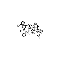 CCOc1cc(O[C@@H]2C[C@@H](C(=O)N[C@]3(C(=O)NS(=O)(=O)OC4CC4C)C[C@H]3CC)N(C(=O)[C@@H](NC(=O)OC3CCCC3)C(C)(C)C)C2)c2cccc(Cl)c2n1